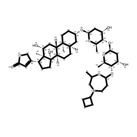 CC1CN(C2CCC2)CCC(O[C@H]2[C@@H](O)C[C@H](O[C@H]3[C@@H](O)C[C@H](O[C@H]4CC[C@@]5(C)[C@H](CC[C@@H]6[C@@H]5C[C@@H](O)[C@]5(C)[C@@H](C7=CC(=O)OC7)CC[C@]65O)C4)O[C@@H]3C)O[C@@H]2C)O1